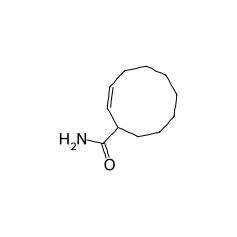 NC(=O)C1C=CCCCCCCC1